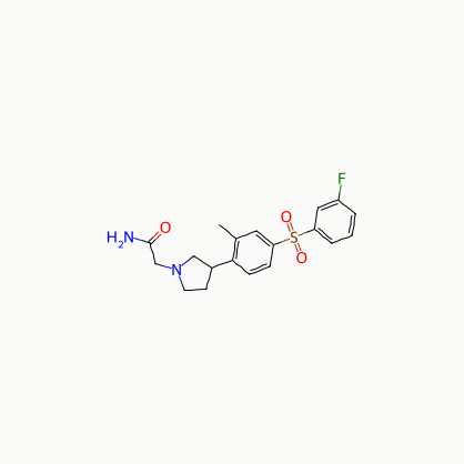 Cc1cc(S(=O)(=O)c2cccc(F)c2)ccc1C1CCN(CC(N)=O)C1